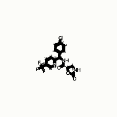 O=C1NC[C@@H](C(=O)NC(c2ccc(Cl)cc2)c2ccc(C(F)(F)F)cn2)O1